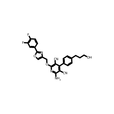 N#Cc1c(N)nc(OCc2coc(-c3ccc(F)c(F)c3)n2)c(C#N)c1-c1ccc(CCCO)cc1